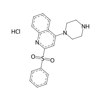 Cl.O=S(=O)(c1ccccc1)c1cc(N2CCNCC2)c2ccccc2n1